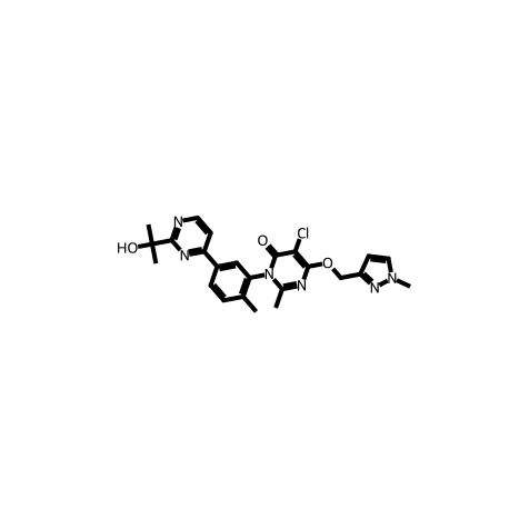 Cc1ccc(-c2ccnc(C(C)(C)O)n2)cc1-n1c(C)nc(OCc2ccn(C)n2)c(Cl)c1=O